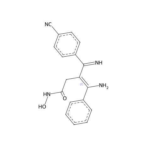 N#Cc1ccc(C(=N)/C(CC(=O)NO)=C(\N)c2ccccc2)cc1